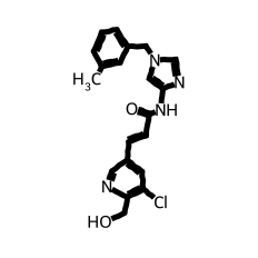 Cc1cccc(Cn2cnc(NC(=O)/C=C/c3cnc(CO)c(Cl)c3)c2)c1